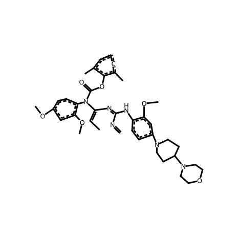 C=N/C(=N\C(=C/C)N(C(=O)Oc1c(C)cccc1C)c1ccc(OC)cc1OC)Nc1ccc(N2CCC(N3CCOCC3)CC2)cc1OC